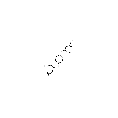 O=C(O)CC(CO)NC1CCC(NC(CO)CC(=O)O)CC1